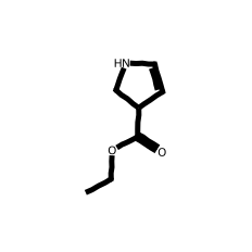 CCOC(=O)C1C=CNC1